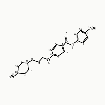 CCCCc1ccc(OC(=O)c2ccc(OCCCC3CCC(CCC)CC3)cc2)cc1